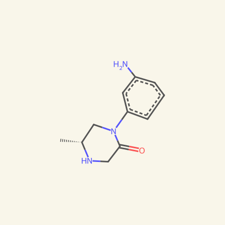 C[C@@H]1CN(c2cccc(N)c2)C(=O)CN1